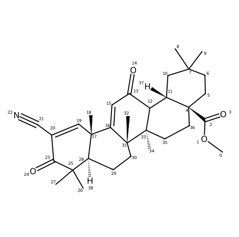 COC(=O)[C@]12CCC(C)(C)C[C@H]1C1C(=O)C=C3[C@@]4(C)C=C(C#N)C(=O)C(C)(C)[C@@H]4CC[C@@]3(C)[C@]1(C)CC2